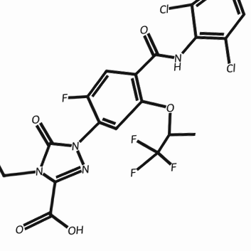 CCn1c(C(=O)O)nn(-c2cc(OC(C)C(F)(F)F)c(C(=O)Nc3c(Cl)cccc3Cl)cc2F)c1=O